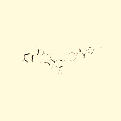 CCc1nn2c(C)cc(N3CCN(C(=O)C(=O)N4CC(O)C4)CC3)nc2c1N(C)c1nc(-c2ccc(F)cc2)c(C#N)s1